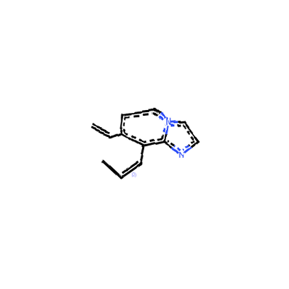 C=Cc1ccn2ccnc2c1/C=C\C